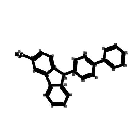 Cc1ccc2c(c1)c1ccccc1n2-c1cnc(-c2ccccc2)nc1